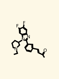 CCN1CCCC(n2c(-c3cccc(/C=C/C(C)=O)c3)nc3cc(F)c(F)cc32)C1